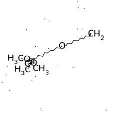 C=CCCCCCCCCOCCCCCCCCCC[Si](OCC)(OCC)OCC